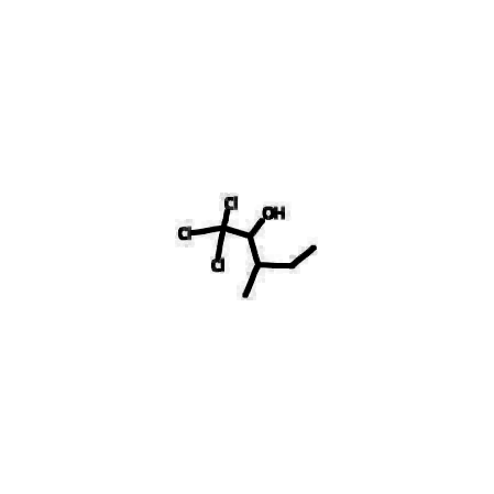 CCC(C)C(O)C(Cl)(Cl)Cl